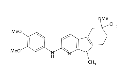 CNC1(C)CCc2c(c3ccc(Nc4ccc(OC)c(OC)c4)nc3n2C)C1